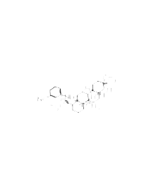 C[C@H](Nc1cccc(C#N)c1)C1CCC[C@@]2(C)[C@@H]3CC[C@]4(I)C[C@](C)(O)CC[C@@H]4C3CC[C@]12C